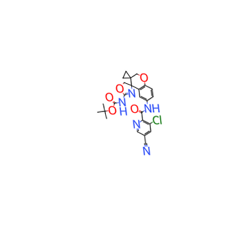 CC(C)(C)OC(=O)NC1=NC2(CO1)c1cc(NC(=O)c3ncc(C#N)cc3Cl)ccc1OCC21CC1